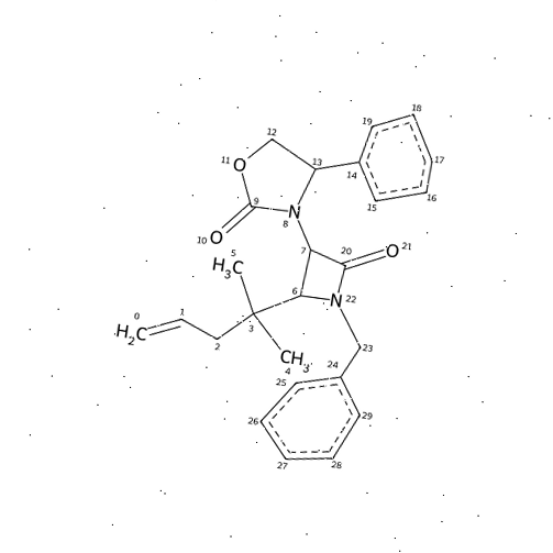 C=CCC(C)(C)C1C(N2C(=O)OCC2c2ccccc2)C(=O)N1Cc1ccccc1